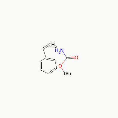 C=Cc1ccccc1.CC(C)(C)OC(N)=O